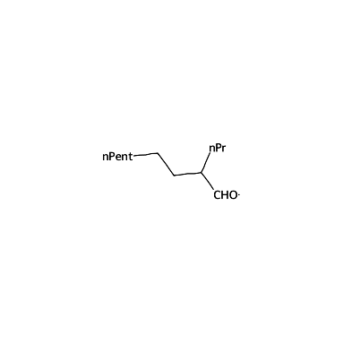 CCCCCCCC([C]=O)CCC